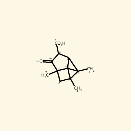 CC12CC3(C)C4(C)C(C(C(=O)O)C1=O)C234